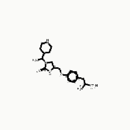 CC(C1CCNCC1)N1CC(COc2ccc(CC(N)C(=O)O)cc2)OC1=O